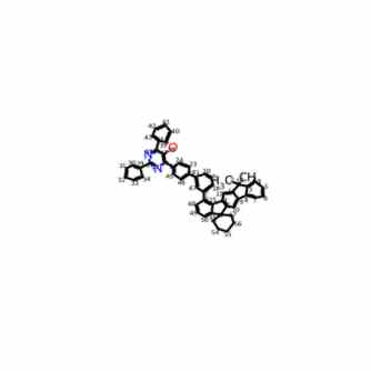 CC1(C)c2ccccc2-c2cc3c(cc21)-c1c(-c2cccc(-c4ccc(-c5nc(-c6ccccc6)nc6c5oc5ccccc56)cc4)c2)cccc1C31CCCCC1